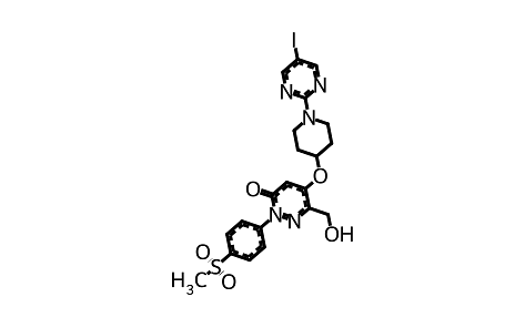 CS(=O)(=O)c1ccc(-n2nc(CO)c(OC3CCN(c4ncc(I)cn4)CC3)cc2=O)cc1